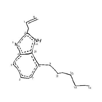 C=Cc1nc2cccc(CCCCC)c2[nH]1